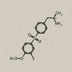 CC(=O)OOc1ccc(S(=O)(=O)c2ccc(C[C@@H](C)N)cc2)cc1F